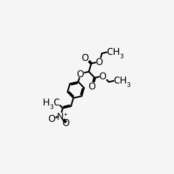 CCOC(=O)C(Oc1ccc(/C=C(\C)[N+](=O)[O-])cc1)C(=O)OCC